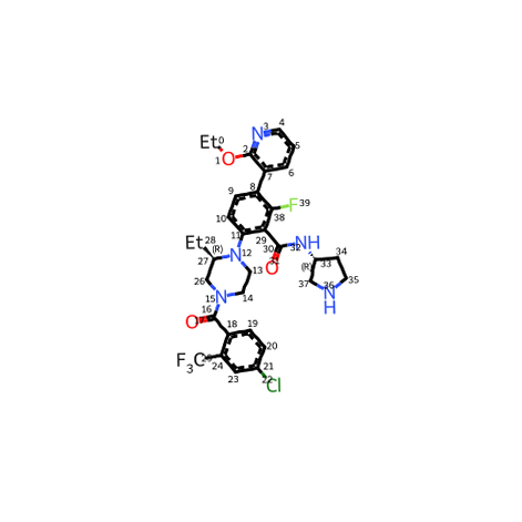 CCOc1ncccc1-c1ccc(N2CCN(C(=O)c3ccc(Cl)cc3C(F)(F)F)C[C@H]2CC)c(C(=O)N[C@@H]2CCNC2)c1F